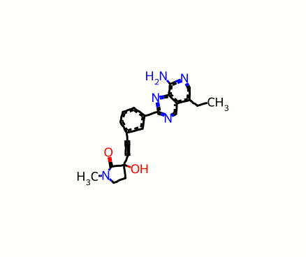 CCc1cnc(N)c2nc(-c3cccc(C#CC4(O)CCN(C)C4=O)c3)ncc12